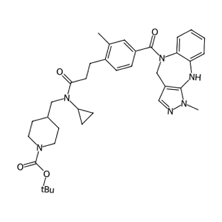 Cc1cc(C(=O)N2Cc3cnn(C)c3Nc3ccccc32)ccc1CCC(=O)N(CC1CCN(C(=O)OC(C)(C)C)CC1)C1CC1